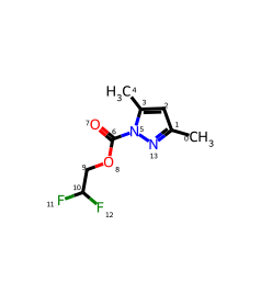 Cc1cc(C)n(C(=O)OCC(F)F)n1